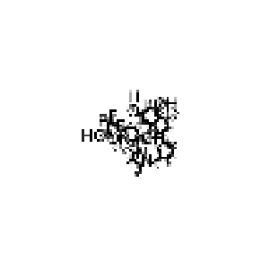 Cc1cc(C)n(Cc2cccc(-c3cc(=O)c4c(O)cc(O)c([C@H]5CCN(C)C[C@H]5O)c4o3)c2)n1.O=C(O)C(F)(F)F